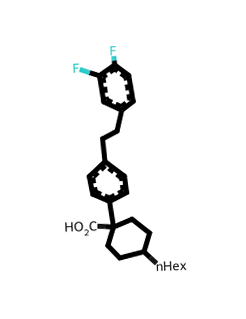 CCCCCCC1CCC(C(=O)O)(c2ccc(CCc3ccc(F)c(F)c3)cc2)CC1